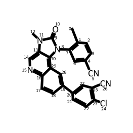 Cc1ccc(C#N)cc1-n1c(=O)n(C)c2cnc3ccc(-c4ccc(Cl)c(C#N)c4)cc3c21